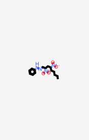 CCCCCC(CC(C=NNc1ccccc1)[N+](=O)[O-])[N+](=O)[O-]